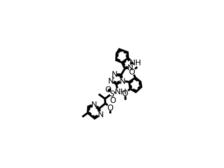 COc1cccc(OC)c1-n1c(NS(=O)(=O)C(C)C(OC)c2ncc(C)cn2)nnc1-c1n[nH]c2ccccc12